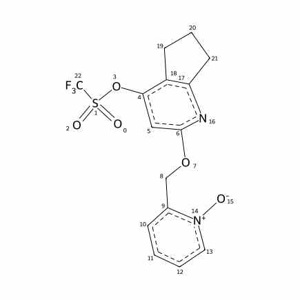 O=S(=O)(Oc1cc(OCc2cccc[n+]2[O-])nc2c1CCC2)C(F)(F)F